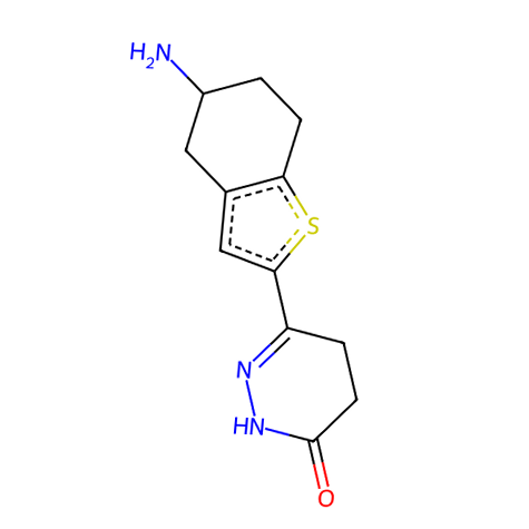 NC1CCc2sc(C3=NNC(=O)CC3)cc2C1